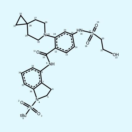 CC(C)(C)S(=O)(=O)N1CCc2c(NC(=O)c3ccc(NS(=O)(=O)CCO)cc3N3CCC4(CC3)CC4)cccc21